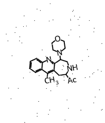 CC(=O)C1Cc2c(nc3ccccc3c2C)C(N2CCOCC2)CN1